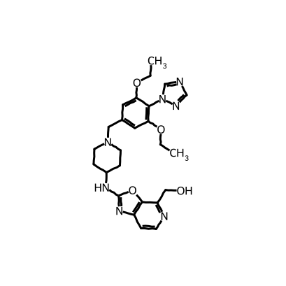 CCOc1cc(CN2CCC(Nc3nc4ccnc(CO)c4o3)CC2)cc(OCC)c1-n1cncn1